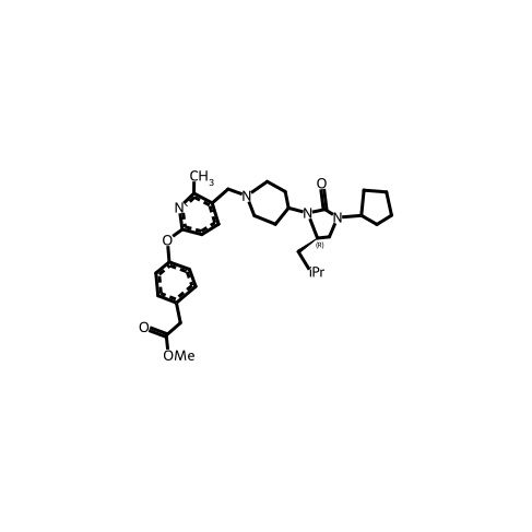 COC(=O)Cc1ccc(Oc2ccc(CN3CCC(N4C(=O)N(C5CCCC5)C[C@H]4CC(C)C)CC3)c(C)n2)cc1